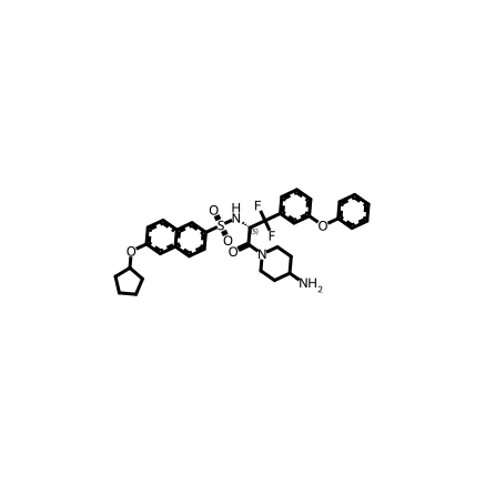 NC1CCN(C(=O)[C@H](NS(=O)(=O)c2ccc3cc(OC4CCCC4)ccc3c2)C(F)(F)c2cccc(Oc3ccccc3)c2)CC1